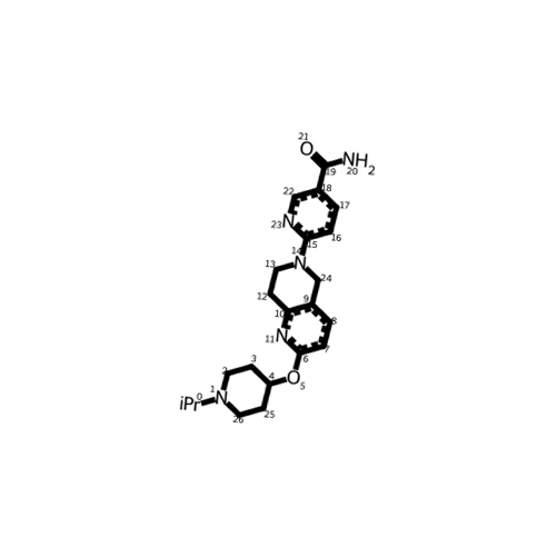 CC(C)N1CCC(Oc2ccc3c(n2)CCN(c2ccc(C(N)=O)cn2)C3)CC1